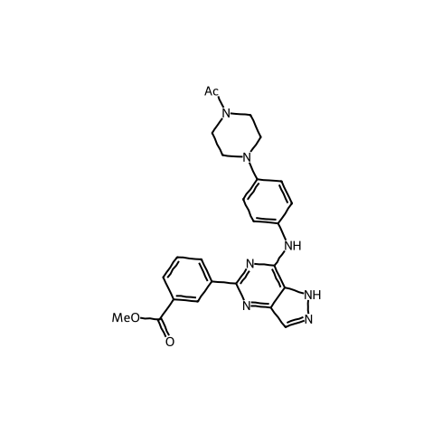 COC(=O)c1cccc(-c2nc(Nc3ccc(N4CCN(C(C)=O)CC4)cc3)c3[nH]ncc3n2)c1